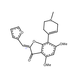 COc1cc(OC)c(C2=CCN(C)CC2)c2c1C(=O)/C(=C/c1ccco1)O2